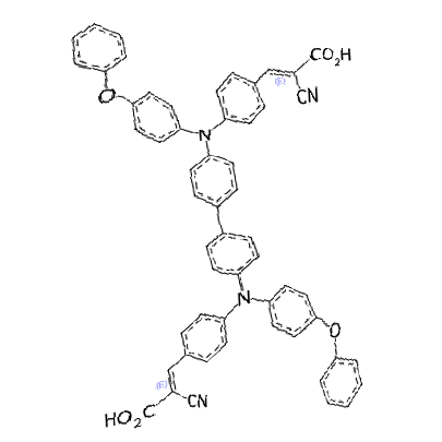 N#C/C(=C\c1ccc(N(c2ccc(Oc3ccccc3)cc2)c2ccc(-c3ccc(N(c4ccc(/C=C(\C#N)C(=O)O)cc4)c4ccc(Oc5ccccc5)cc4)cc3)cc2)cc1)C(=O)O